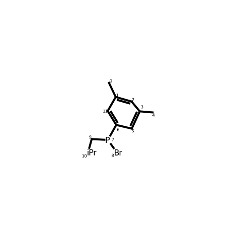 Cc1cc(C)cc(P(Br)CC(C)C)c1